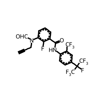 C#CCN(C=O)c1cccc(C(=O)Nc2ccc(C(F)(C(F)(F)F)C(F)(F)F)cc2C(F)(F)F)c1F